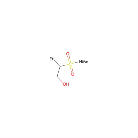 CCC(CO)S(=O)(=O)NC